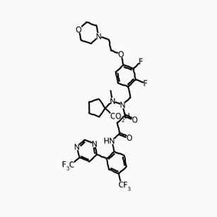 CN(N(Cc1ccc(OCCN2CCOCC2)c(F)c1F)C(=O)CC(=O)Nc1ccc(C(F)(F)F)cc1-c1cc(C(F)(F)F)ncn1)C1(C(=O)O)CCCC1